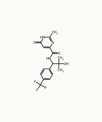 Cc1nc(C(=O)NC(c2ccc(C(F)(F)F)cc2)C(C)(C)O)cc(=O)[nH]1